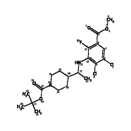 COC(=O)c1cc(Cl)c(Cl)c(NC(C)C2CCN(C(=O)OC(C)(C)C)CC2)c1F